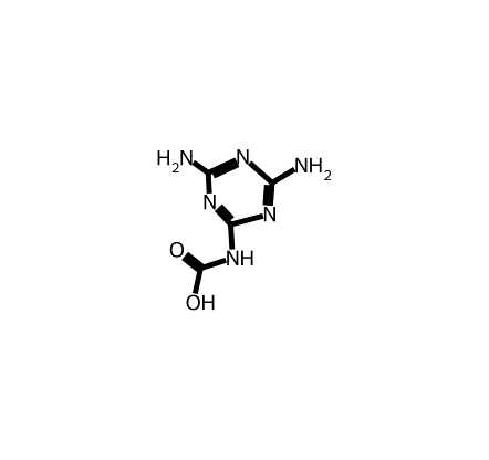 Nc1nc(N)nc(NC(=O)O)n1